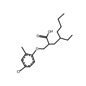 CCCCC(CC)CC(COc1ccc(Cl)cc1C)C(=O)O